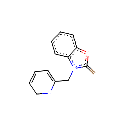 S=c1oc2ccccc2n1CC1=CC=CCN1